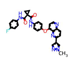 Cn1cc(-c2ccc3nccc(Oc4ccc(NC(=O)C5(C(=O)Nc6ccc(F)cc6)CC5)cc4)c3n2)cn1